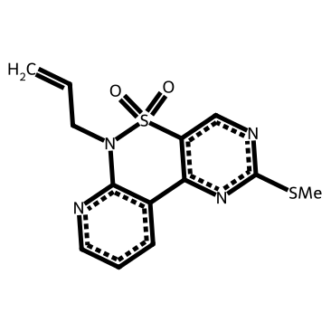 C=CCN1c2ncccc2-c2nc(SC)ncc2S1(=O)=O